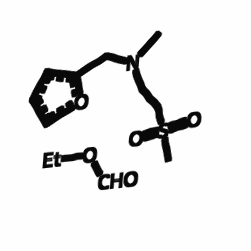 CCOC=O.CN(CCS(C)(=O)=O)Cc1ccco1